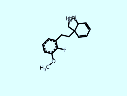 CCC1(CCc2cccc(OC)c2F)C=CC=CC1N